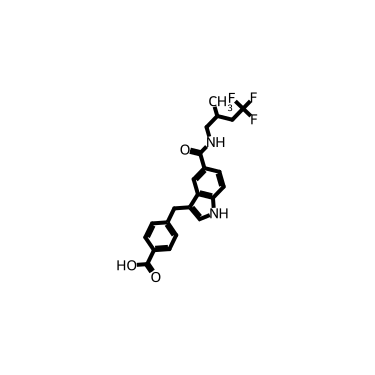 CC(CNC(=O)c1ccc2[nH]cc(Cc3ccc(C(=O)O)cc3)c2c1)CC(F)(F)F